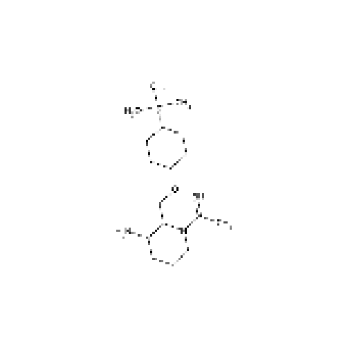 CC(=N)N1CCCC(N)C1CO[C@H]1CC[C@@H](C(C)(C)C)CC1